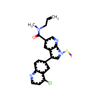 C=CCN(C)C(=O)c1cnc2c(c1)c(-c1ccc3nccc(Cl)c3c1)cn2SI